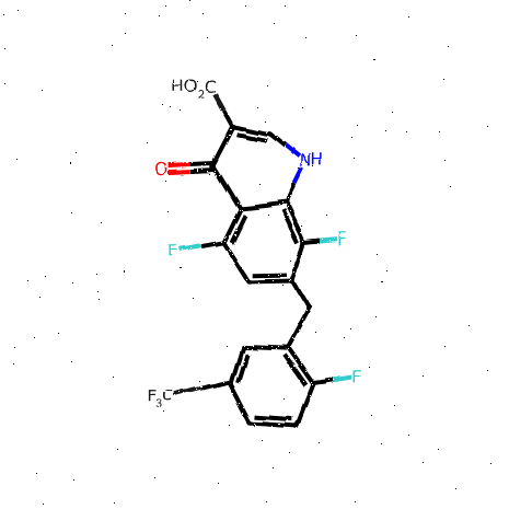 O=C(O)c1c[nH]c2c(F)c(Cc3cc(C(F)(F)F)ccc3F)cc(F)c2c1=O